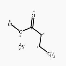 CCCC(=O)OCl.[Ag]